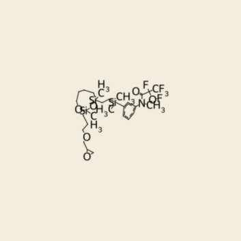 CN(C(=O)C(F)(OF)C(F)(F)F)c1cccc([Si](C)(C)CC[Si]2(C)CCCCO[Si](C)(CCCOCC3CO3)O2)c1